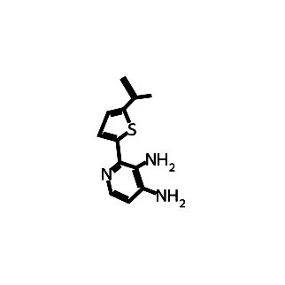 C=C(C)c1ccc(-c2nccc(N)c2N)s1